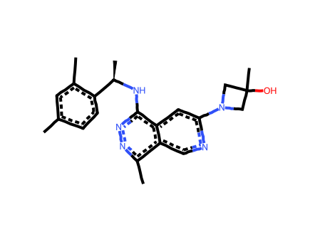 Cc1ccc([C@@H](C)Nc2nnc(C)c3cnc(N4CC(C)(O)C4)cc23)c(C)c1